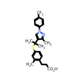 Cc1cc(SC(C)(C)c2cn(-c3ccc(C(F)(F)F)cc3)nc2C)ccc1CCC(=O)O